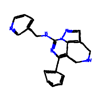 c1ccc(-c2nc(NCc3cccnc3)n3ncc4c3c2CNC4)cc1